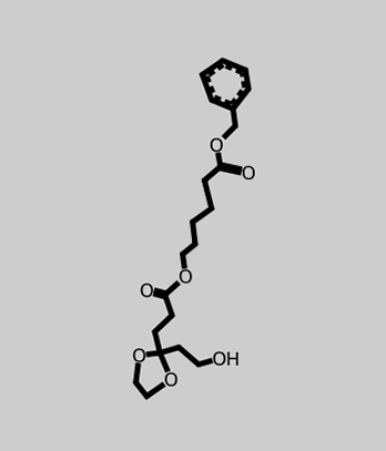 O=C(CCC1(CCO)OCCO1)OCCCCCC(=O)OCc1ccccc1